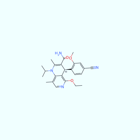 CCOc1ncc(C)c2c1[C@H](c1ccc(C#N)cc1OC)C(C(N)=O)=C(C)N2C(C)C